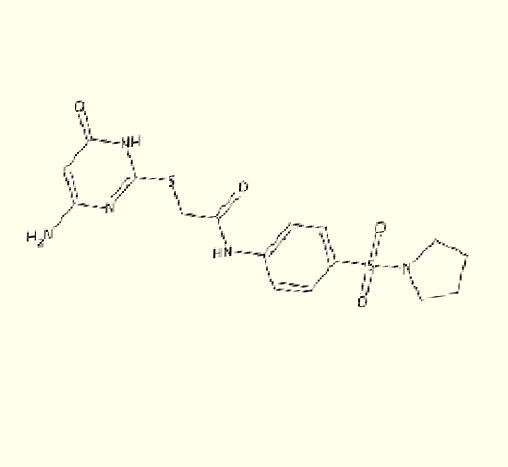 Nc1cc(=O)[nH]c(SCC(=O)Nc2ccc(S(=O)(=O)N3CCCC3)cc2)n1